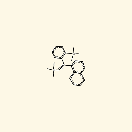 C[Si](C)(C)/C=C(\c1ccccc1[Si](C)(C)C)c1cccc2ccccc12